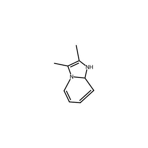 CC1=C(C)N2C=CC=CC2N1